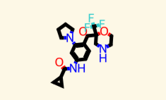 O=C(Nc1ccc(C(=O)C2(C(F)(F)F)CNCCO2)c(N2CCCC2)c1)C1CC1